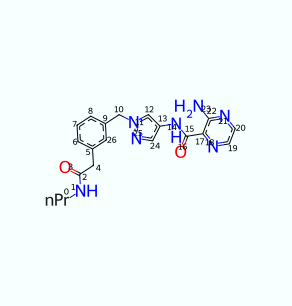 CCCNC(=O)Cc1cccc(Cn2cc(NC(=O)c3nccnc3N)cn2)c1